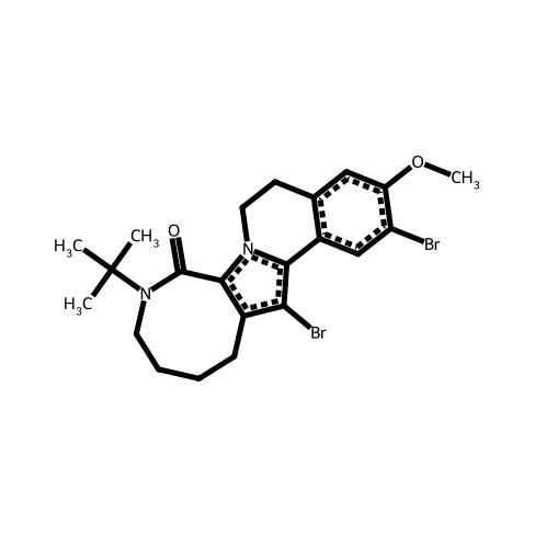 COc1cc2c(cc1Br)-c1c(Br)c3c(n1CC2)C(=O)N(C(C)(C)C)CCCC3